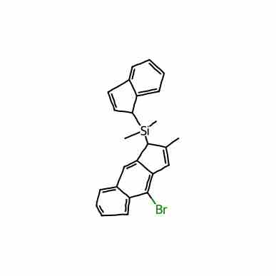 CC1=Cc2c(cc3ccccc3c2Br)C1[Si](C)(C)C1C=Cc2ccccc21